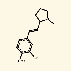 COc1ccc(C=CC2CCCN2C)cc1O